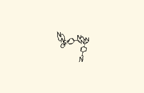 CN1CCN([S+]([O-])c2ccc(-c3cn4c(-c5ccc(C#N)cc5)cnc4cn3)cc2)CC1